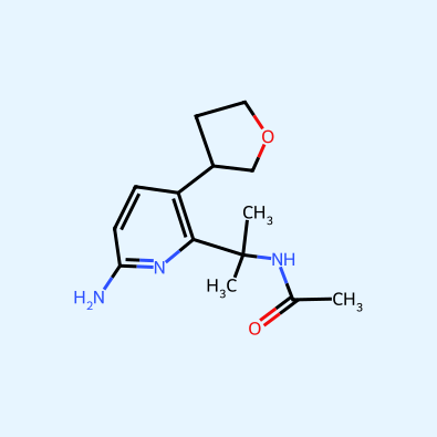 CC(=O)NC(C)(C)c1nc(N)ccc1C1CCOC1